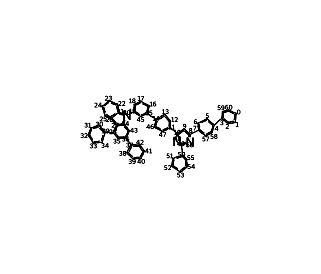 c1ccc(-c2ccc(-c3cc(-c4ccc(-c5cccc(-n6c7ccccc7c7c(-c8ccccc8)cc(-c8ccccc8)cc76)c5)cc4)nc(-c4ccccc4)n3)cc2)cc1